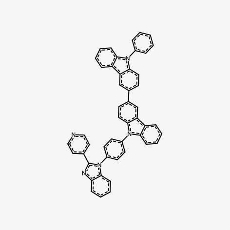 c1ccc(-n2c3ccccc3c3cc(-c4ccc5c(c4)c4ccccc4n5-c4ccc(-n5c(-c6ccncc6)nc6ccccc65)cc4)ccc32)cc1